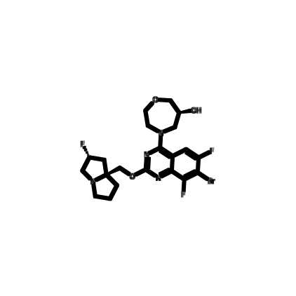 O[C@@H]1COCCN(c2nc(OC[C@@]34CCCN3C[C@H](F)C4)nc3c(F)c(Br)c(F)cc23)C1